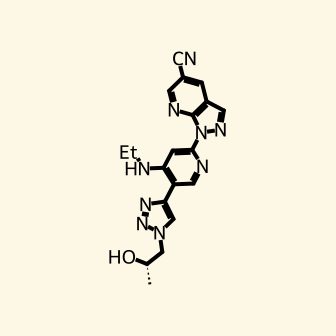 CCNc1cc(-n2ncc3cc(C#N)cnc32)ncc1-c1cn(C[C@H](C)O)nn1